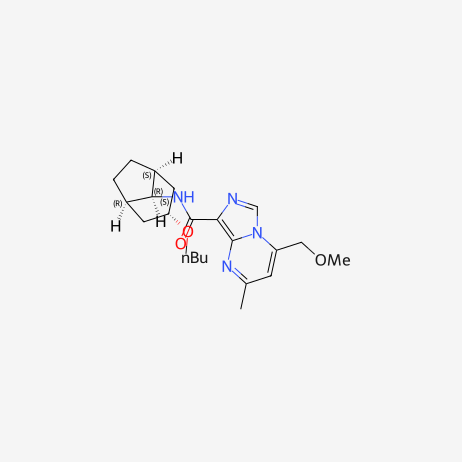 CCCCO[C@@H]1C[C@H]2CC[C@@H](C1)[C@H]2NC(=O)c1ncn2c(COC)cc(C)nc12